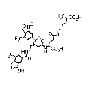 C[C@@H](CCCCNC(=O)CC[C@H](NC(=O)CN(CCNC(=O)c1cc2c(c(C(F)(F)F)c1)COB2O)C(=O)c1cc2c(c(C(F)(F)F)c1)COB2O)C(=O)O)C(=O)O